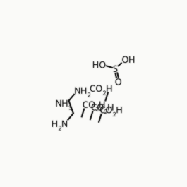 CC(=O)O.CC(=O)O.CC(=O)O.CC(=O)O.N.NCCN.O=S(O)O